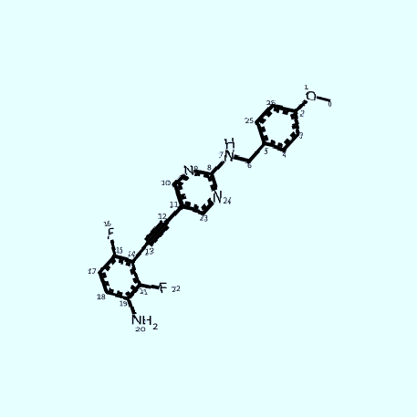 COc1ccc(CNc2ncc(C#Cc3c(F)ccc(N)c3F)cn2)cc1